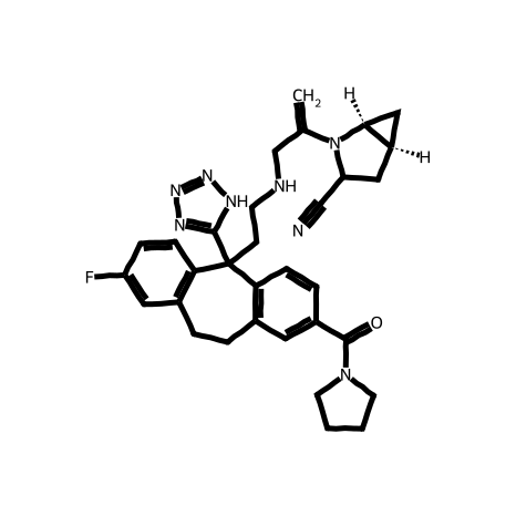 C=C(CNCCC1(c2nnn[nH]2)c2ccc(F)cc2CCc2cc(C(=O)N3CCCC3)ccc21)N1C(C#N)C[C@@H]2C[C@@H]21